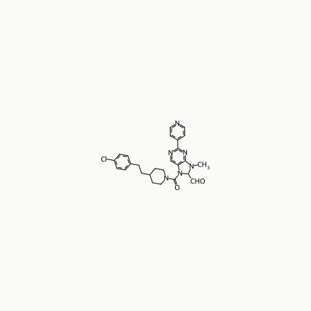 CN1c2nc(-c3ccncc3)ncc2N(C(=O)N2CCC(CCc3ccc(Cl)cc3)CC2)C1C=O